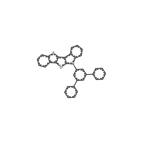 c1ccc(-c2cc(-c3ccccc3)cc(-n3c4ccccc4c4c5sc6ccccc6c5oc43)c2)cc1